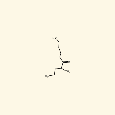 CCCCCC(=O)C(C)CCC